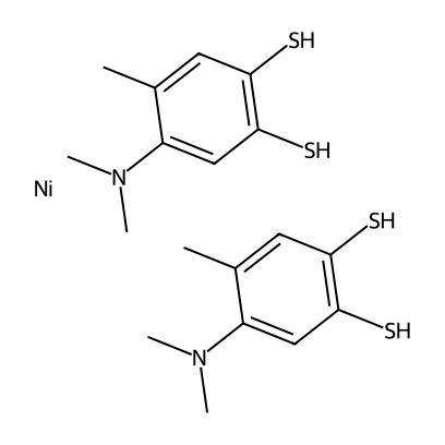 Cc1cc(S)c(S)cc1N(C)C.Cc1cc(S)c(S)cc1N(C)C.[Ni]